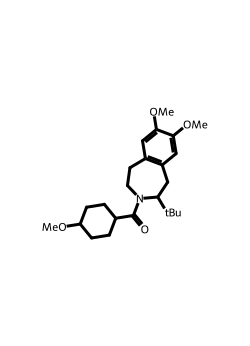 COc1cc2c(cc1OC)CC(C(C)(C)C)N(C(=O)C1CCC(OC)CC1)CC2